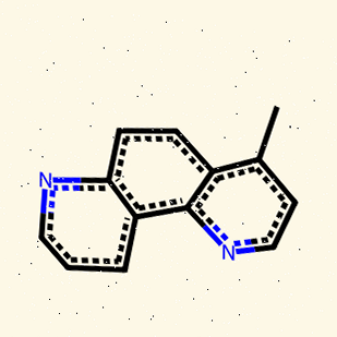 Cc1ccnc2c1ccc1ncccc12